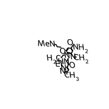 C=CCN(CNC(=O)c1cc(C)nn1CC)c1c(N=C)cc(C(N)=O)cc1OCCCNC